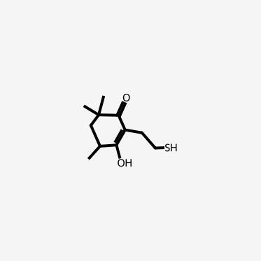 CC1CC(C)(C)C(=O)C(CCS)=C1O